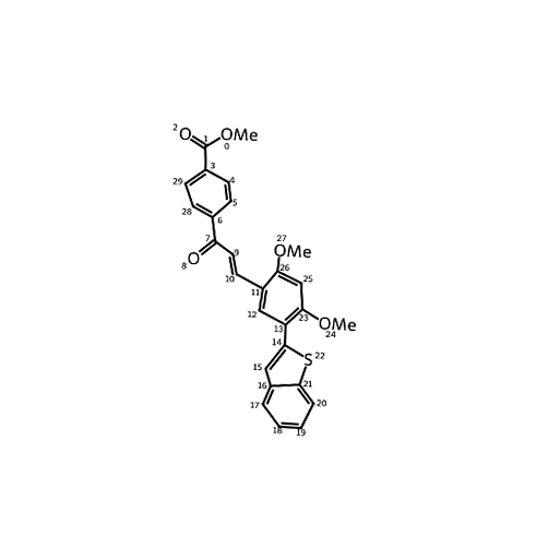 COC(=O)c1ccc(C(=O)/C=C/c2cc(-c3cc4ccccc4s3)c(OC)cc2OC)cc1